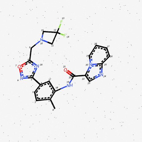 Cc1ccc(-c2noc(CN3CC(F)(F)C3)n2)cc1NC(=O)c1cnc2ccccn12